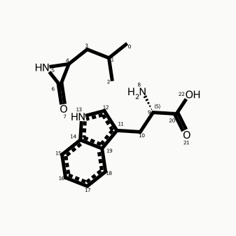 CC(C)CC1NC1=O.N[C@@H](Cc1c[nH]c2ccccc12)C(=O)O